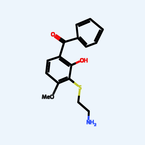 COc1ccc(C(=O)c2ccccc2)c(O)c1SCCN